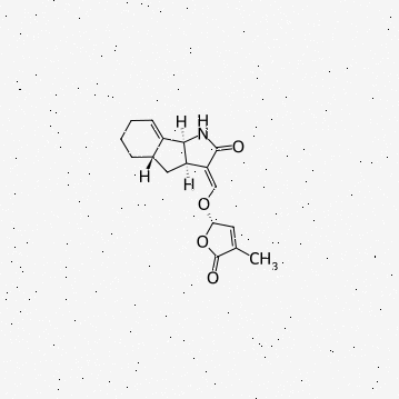 CC1=C[C@@H](O/C=C2/C(=O)N[C@@H]3C4=CCCC[C@H]4C[C@H]23)OC1=O